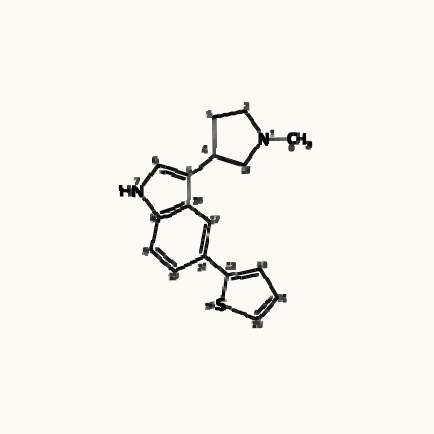 CN1CCC(c2c[nH]c3ccc(-c4cccs4)cc23)C1